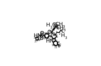 CCCC[C@H]1Cc2c([nH]c3ccc(F)cc23)C(c2ccc(S(=O)(=O)NC3CCC3)cc2)N1C(=O)C#C[Si](C)(C)C